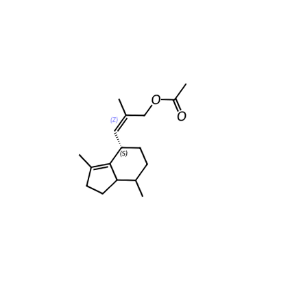 CC(=O)OC/C(C)=C\[C@@H]1CCC(C)C2CCC(C)=C21